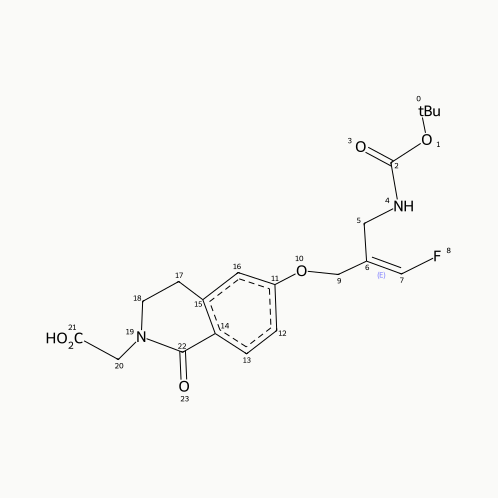 CC(C)(C)OC(=O)NC/C(=C\F)COc1ccc2c(c1)CCN(CC(=O)O)C2=O